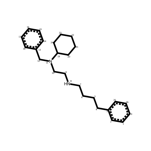 c1ccc(CCCCNCCN(Cc2ccccc2)C2CCCCC2)cc1